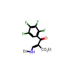 CCNC=C(C(=O)OCC)C(=O)c1cc(F)c(F)c(F)c1F